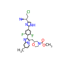 COC(=O)N1CCO[C@@H](Cc2c(-c3c(F)cc(-c4nc(C(C#N)CCCl)c[nH]4)cc3F)nc3cc(C)ccn23)C1